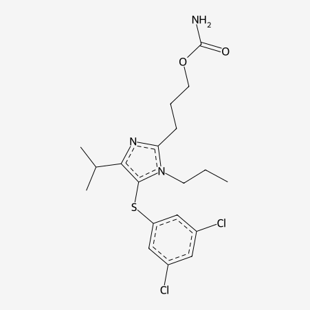 CCCn1c(CCCOC(N)=O)nc(C(C)C)c1Sc1cc(Cl)cc(Cl)c1